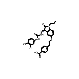 CCCN1C(=O)/C(=N/NC(=O)Nc2ccc(Cl)c(Cl)c2)c2cc(SCCc3ccc(C(=O)O)cc3)ccc21